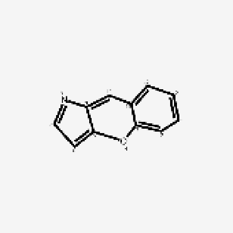 c1ccc2oc3ccnc-3cc2c1